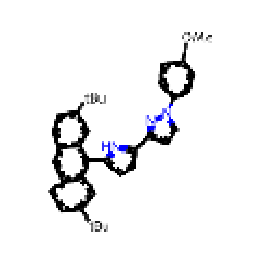 COc1ccc(-n2ccc(-c3ccc(-c4c5cc(C(C)(C)C)ccc5cc5ccc(C(C)(C)C)cc45)[nH]3)n2)cc1